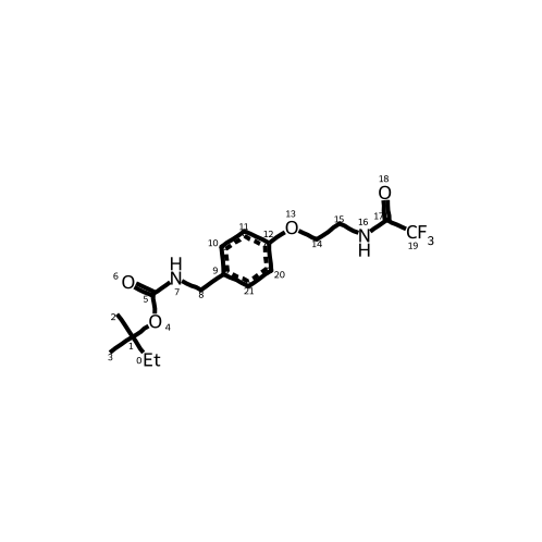 CCC(C)(C)OC(=O)NCc1ccc(OCCNC(=O)C(F)(F)F)cc1